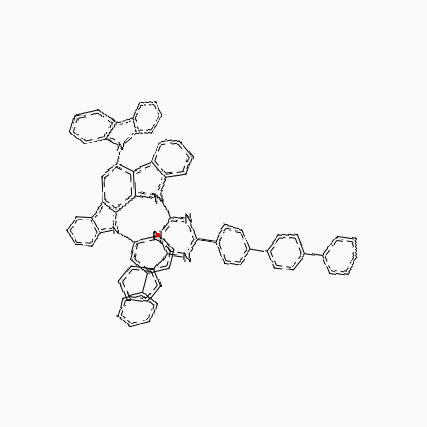 c1ccc(-c2ccc(-c3ccc(-c4nc(-c5ccccc5)nc(-n5c6ccccc6c6c(-n7c8ccccc8c8ccccc87)cc7c8ccccc8n(-c8cccc(-c9ccccc9)c8)c7c65)n4)cc3)cc2)cc1